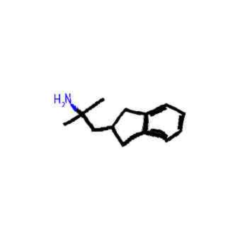 CC(C)(N)CC1Cc2ccccc2C1